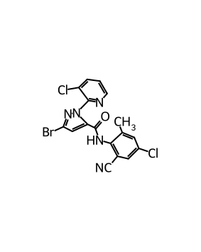 Cc1cc(Cl)cc(C#N)c1NC(=O)c1cc(Br)nn1-c1ncccc1Cl